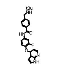 CC(C)(C)NCc1ccc(C(=O)Nc2ccc(OC3C=CN=C4NC=CC43)c(F)c2)cc1